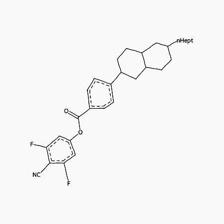 CCCCCCCC1CCC2CC(c3ccc(C(=O)Oc4cc(F)c(C#N)c(F)c4)cc3)CCC2C1